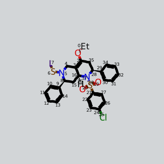 CCOC1=C2CN(SI)[C@H](c3ccccc3)C[C@@H]2N(S(=O)(=O)c2ccc(Cl)cc2)[C@H](c2ccccc2)C1